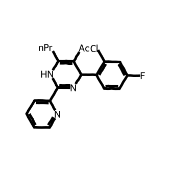 CCCC1=C(C(C)=O)C(c2ccc(F)cc2Cl)N=C(c2ccccn2)N1